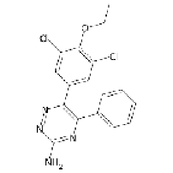 CCOc1c(Cl)cc(-c2nnc(N)nc2-c2ccccc2)cc1Cl